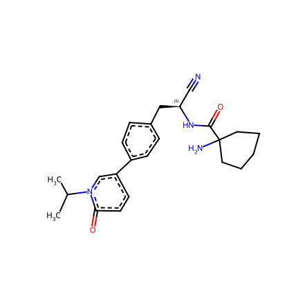 CC(C)n1cc(-c2ccc(C[C@@H](C#N)NC(=O)C3(N)CCCCC3)cc2)ccc1=O